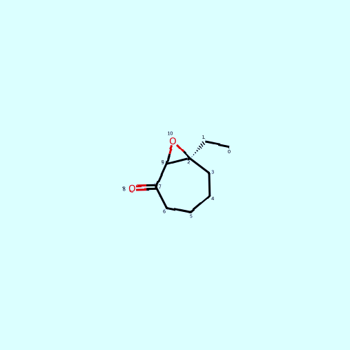 CC[C@]12CCCCC(=O)C1O2